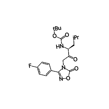 CC(C)C[C@H](NC(=O)OC(C)(C)C)C(=O)Cn1c(-c2ccc(F)cc2)noc1=O